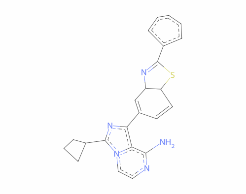 Nc1nccn2c(C3CCC3)nc(C3=CC4N=C(c5ccccc5)SC4C=C3)c12